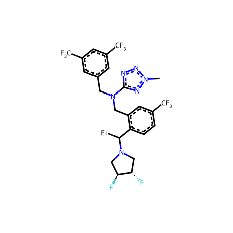 CCC(c1ccc(C(F)(F)F)cc1CN(Cc1cc(C(F)(F)F)cc(C(F)(F)F)c1)c1nnn(C)n1)N1C[C@H](F)[C@@H](F)C1